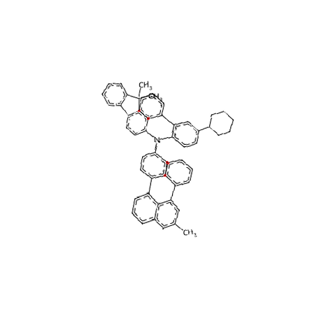 Cc1cc(-c2ccccc2)c2c(-c3ccc(N(c4ccc5c(c4)C(C)(C)c4ccccc4-5)c4ccc(C5CCCCC5)cc4-c4ccccc4)cc3)cccc2c1